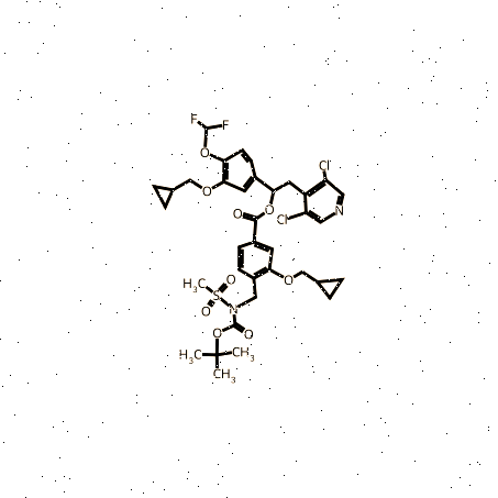 CC(C)(C)OC(=O)N(Cc1ccc(C(=O)OC(Cc2c(Cl)cncc2Cl)c2ccc(OC(F)F)c(OCC3CC3)c2)cc1OCC1CC1)S(C)(=O)=O